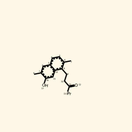 Cc1cc2ccc(C)c(CCC(=O)C(C)C)c2cc1O